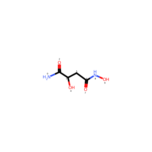 NC(=O)C(O)CC(=O)NO